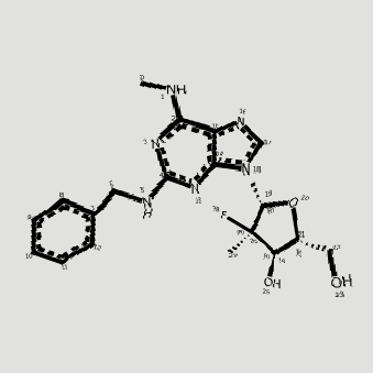 CNc1nc(NCc2ccccc2)nc2c1ncn2[C@@H]1O[C@H](CO)[C@@H](O)[C@@]1(C)F